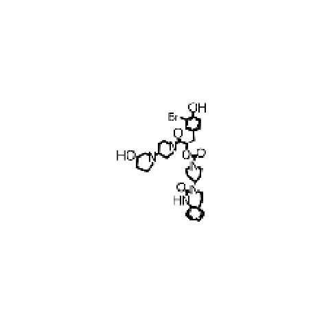 O=C(O[C@H](Cc1ccc(O)c(Br)c1)C(=O)N1CCC(N2CCC[C@H](O)C2)CC1)N1CCC(N2CCc3ccccc3NC2=O)CC1